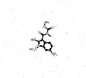 CN(C(=O)OC(C)(C)C)C(=O)c1c(C(C)(C)C)n(C(=O)O)c2cc([N+](=O)[O-])ccc12